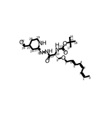 C\C=C/C=C\C=C\COC[C@@H](NC(=O)OC(C)(C)C)C(=O)N/N=C1/CC(C=O)CCN1